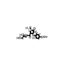 CSc1ccc(Nc2cc(=O)n(C)cc2C(=O)NCC(O)CO)c(F)c1